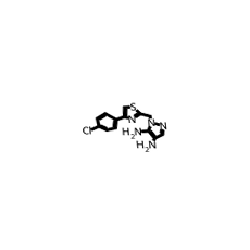 Nc1cnn(Cc2nc(-c3ccc(Cl)cc3)cs2)c1N